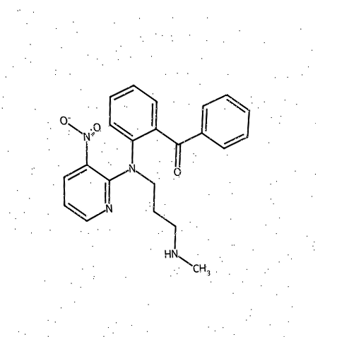 CNCCCN(c1ccccc1C(=O)c1ccccc1)c1ncccc1[N+](=O)[O-]